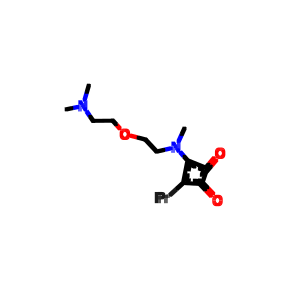 CC(C)c1c(N(C)CCOCCN(C)C)c(=O)c1=O